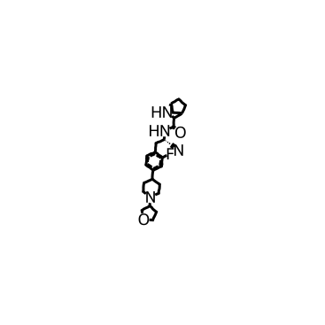 N#C[C@H](Cc1ccc(C2CCN(C3CCOC3)CC2)cc1F)NC(=O)C1NC2CCC1C2